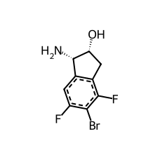 N[C@H]1c2cc(F)c(Br)c(F)c2C[C@H]1O